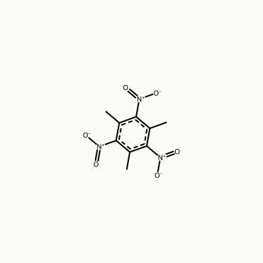 Cc1c([N+](=O)[O-])c(C)c([N+](=O)[O-])c(C)c1[N+](=O)[O-]